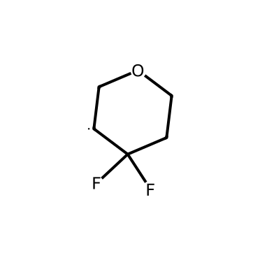 FC1(F)[CH]COCC1